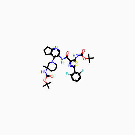 CC1(NC(=O)OC(C)(C)C)CCCN(c2c(NC(=O)c3nc(-c4c(F)cccc4F)sc3NC(=O)OC(C)(C)C)cnc3c2CCC3)C1